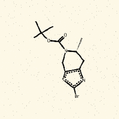 C[C@@H]1Cc2nc(Br)sc2CN1C(=O)OC(C)(C)C